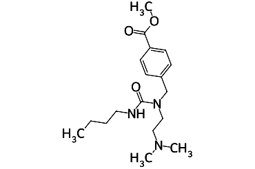 CCCCNC(=O)N(CCN(C)C)Cc1ccc(C(=O)OC)cc1